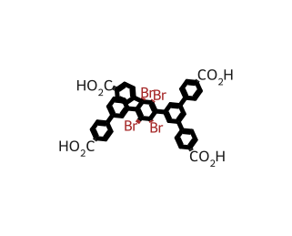 O=C(O)c1ccc(-c2cccc(C3=C(Br)C(Br)C(c4cc(-c5ccc(C(=O)O)cc5)cc(-c5ccc(C(=O)O)cc5)c4)=C(Br)C3(Br)c3ccc(C(=O)O)cc3)c2)cc1